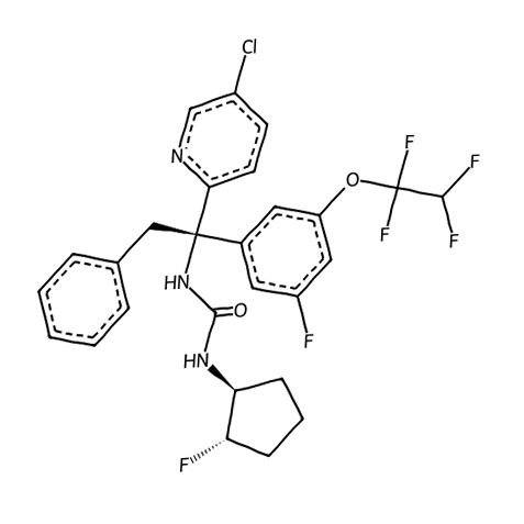 O=C(N[C@H]1CCC[C@@H]1F)N[C@@](Cc1ccccc1)(c1cc(F)cc(OC(F)(F)C(F)F)c1)c1ccc(Cl)cn1